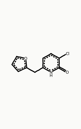 O=c1[nH]c(Cc2ccco2)ccc1Cl